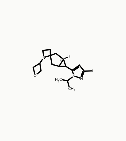 CC(C)n1nc(I)cc1C1C2CC3(CCN3C3COC3)C[C@@H]21